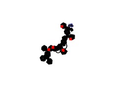 C=Cc1c(/C=C\C)n(-c2ccccc2)c2ccc(N(c3ccccc3)c3ccc4cc5c(cc4c3)oc3c(-c4ccccc4)c4oc6cc7cc(N(c8ccccc8)c8ccc9c(c8)c8ccccc8n9-c8ccccc8)ccc7cc6c4cc35)cc12